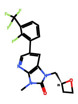 Cn1c(=O)n(C[C@H]2CCO2)c2cc(-c3cccc(C(F)(F)F)c3F)cnc21